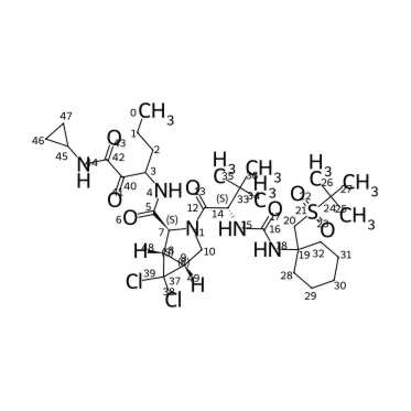 CCCC(NC(=O)[C@@H]1[C@@H]2[C@H](CN1C(=O)[C@@H](NC(=O)NC1(CS(=O)(=O)C(C)(C)C)CCCCC1)C(C)(C)C)C2(Cl)Cl)C(=O)C(=O)NC1CC1